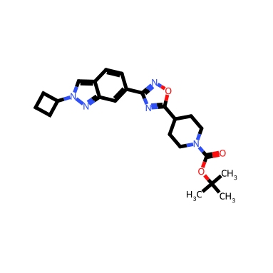 CC(C)(C)OC(=O)N1CCC(c2nc(-c3ccc4cn(C5CCC5)nc4c3)no2)CC1